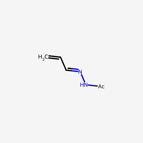 C=CC=NNC(C)=O